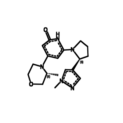 C[C@@H]1COCCN1c1cc(N2CCC[C@H]2c2cnn(C)c2)[nH]c(=O)c1